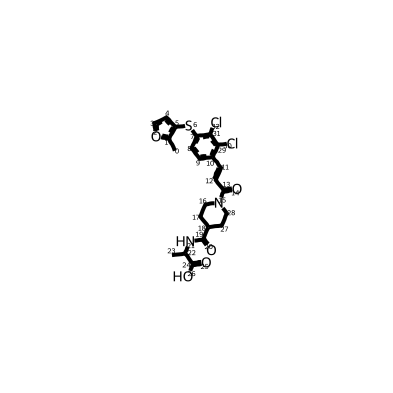 Cc1occc1Sc1ccc(C=CC(=O)N2CCC(C(=O)NC(C)C(=O)O)CC2)c(Cl)c1Cl